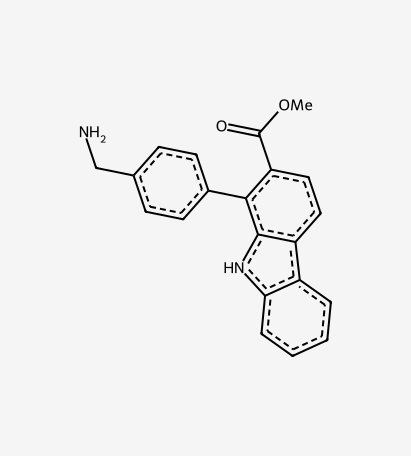 COC(=O)c1ccc2c([nH]c3ccccc32)c1-c1ccc(CN)cc1